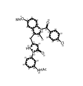 COc1ccc2c(c1)c(Cc1cc(=O)n(-c3cccc(NC(C)=O)c3)[nH]1)c(C)n2C(=O)c1ccc(Cl)cc1